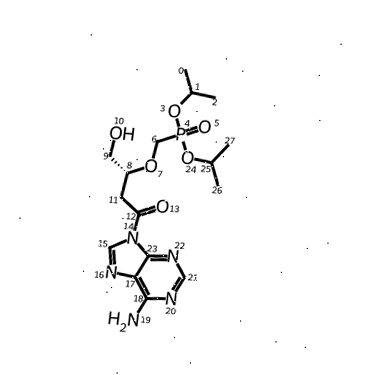 CC(C)OP(=O)(CO[C@@H](CO)CC(=O)n1cnc2c(N)ncnc21)OC(C)C